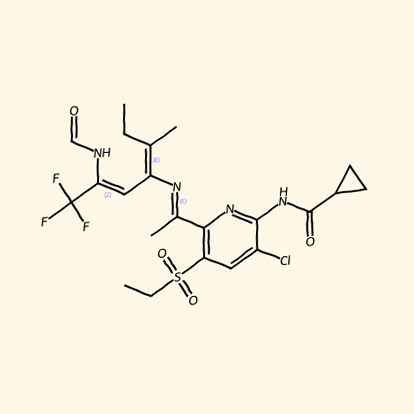 CC/C(C)=C(\C=C(/NC=O)C(F)(F)F)/N=C(\C)c1nc(NC(=O)C2CC2)c(Cl)cc1S(=O)(=O)CC